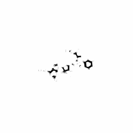 CNc1nc(N)nc2c1ncn2[C@@H]1O[C@H](COP(=O)(NC(C)C(=O)OC(C)C)Oc2ccccc2)[C@@H](O)[C@]1(F)C(F)(F)F